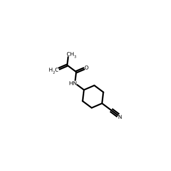 C=C(C)C(=O)NC1CCC(C#N)CC1